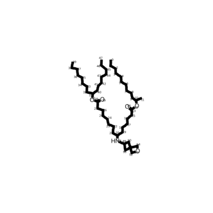 CCCCCCCCCCC(C)OC(=O)CCCCCC(CCCCCCCC(=O)OC(CCCCCCCC)CCCCCCCC)NC1CC2(COC2)C1